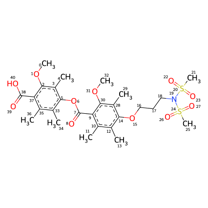 COc1c(C)c(OC(=O)c2c(C)c(C)c(OCCCN(S(C)(=O)=O)S(C)(=O)=O)c(C)c2OC)c(C)c(C)c1C(=O)O